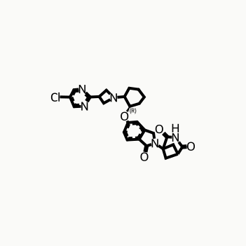 O=C1NC(=O)C2(N3Cc4cc(O[C@@H]5CCCCC5N5CC(c6ncc(Cl)cn6)C5)ccc4C3=O)CC1C2